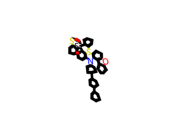 c1ccc(-c2ccc(-c3ccc(N(c4cccc5c4Sc4ccccc4[Si]54c5ccccc5Sc5ccccc54)c4cccc5oc6ccccc6c45)cc3)cc2)cc1